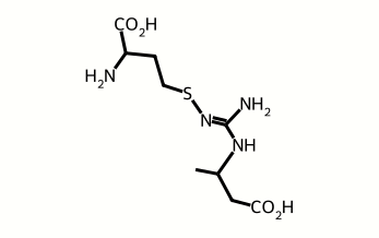 CC(CC(=O)O)NC(N)=NSCCC(N)C(=O)O